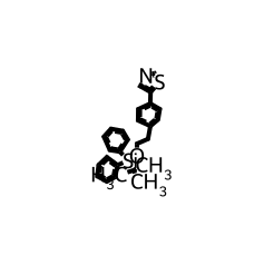 CC(C)(C)[Si](OCCc1ccc(-c2cncs2)cc1)(c1ccccc1)c1ccccc1